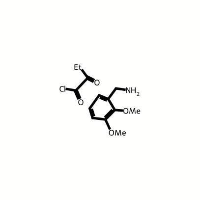 CCC(=O)C(=O)Cl.COc1cccc(CN)c1OC